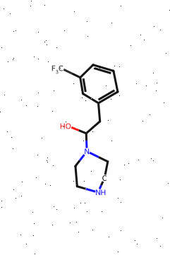 OC(Cc1cccc(C(F)(F)F)c1)N1CCNCC1